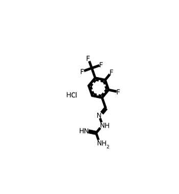 Cl.N=C(N)N/N=C/c1ccc(C(F)(F)F)c(F)c1F